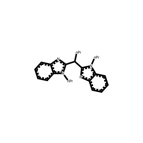 CCCC(c1nc2ccccc2n1CCC)c1nc2ccccc2n1CCC